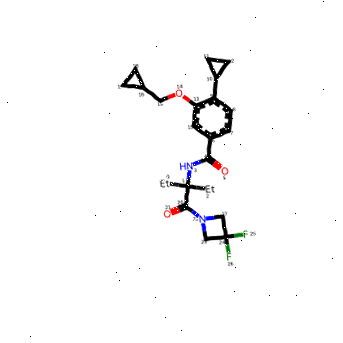 CCC(CC)(NC(=O)c1ccc(C2CC2)c(OCC2CC2)c1)C(=O)N1CC(F)(F)C1